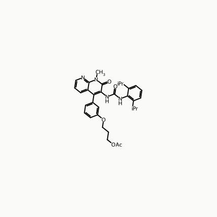 CC(=O)OCCCOc1cccc(-c2c(NC(=O)Nc3c(C(C)C)cccc3C(C)C)c(=O)n(C)c3ncccc23)c1